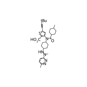 Cc1ccc(N(C)NC2CCC(N(C(=O)C3CCC(C)CC3)c3cc(C#CC(C)(C)C)sc3C(=O)O)CC2)nn1